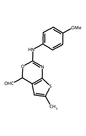 COc1ccc(NC2=Nc3sc(C)cc3C(C=O)O2)cc1